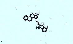 C[C@]12CCC3c4ccccc4CCC3C1[C@H](CCCC(=O)Nc1cccc(F)n1)CC2=O